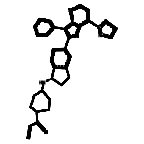 C=CC(=O)N1CCC(N[C@H]2CCc3cc(-c4nc5c(-n6cccn6)ccnn5c4-c4ccccc4)ccc32)CC1